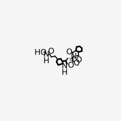 COC(=O)[C@H](Cc1c[nH]c2ccc(CCC(=O)NO)cc12)N1C(=O)c2ccccc2C1=O